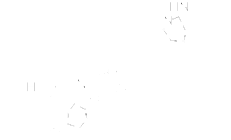 O=C(O)C(c1cc(Cl)ccc1OCC1CC1)N1CC[C@@H](OCCCCCc2ccc3c(n2)NCCC3)C1